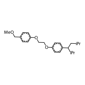 COCc1ccc(OCCOc2ccc(C(CC(C)C)C(C)C)cc2)cc1